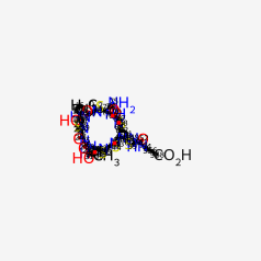 Cc1sc2nc1C(=O)N[C@@H]([C@H](O)c1ccccc1)c1nc(cs1)C(=O)NC(=O)N1C[C@H](O)[C@H](C)[C@H]1c1nc(cs1)-c1nc(cs1)-c1nc(-c3nc(C(=O)NCCCCC(=O)O)cs3)ccc1-c1nc(cs1)C(=O)N[C@H]2CC(N)=O